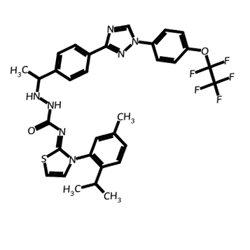 Cc1ccc(C(C)C)c(-n2ccs/c2=N\C(=O)NNC(C)c2ccc(-c3ncn(-c4ccc(OC(F)(F)C(F)(F)F)cc4)n3)cc2)c1